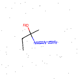 CCC(C)(O)N=[N+]=[N-]